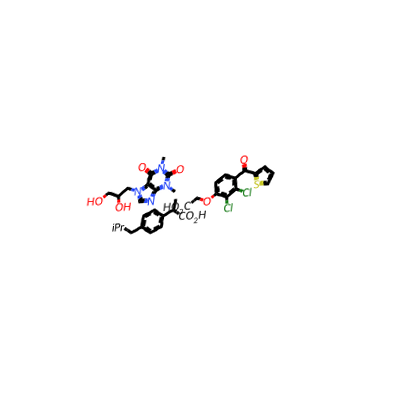 CC(C)Cc1ccc(C(C)C(=O)O)cc1.Cn1c(=O)c2c(ncn2CC(O)CO)n(C)c1=O.O=C(O)COc1ccc(C(=O)c2cccs2)c(Cl)c1Cl